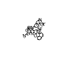 CN(C)C1CN(c2nc3c(=O)n(-c4cccc5ccccc45)c(C(F)(F)F)cc3c(N[C@H]3CCN(C(=O)OC(C)(C)C)[C@H](CC#N)C3)c2[N+](=O)[O-])C1